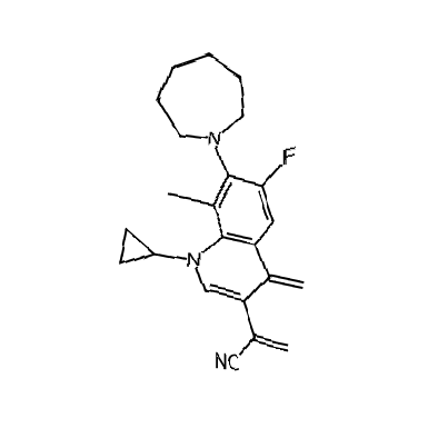 C=C(C#N)C1=CN(C2CC2)c2c(cc(F)c(N3CCCCCC3)c2C)C1=C